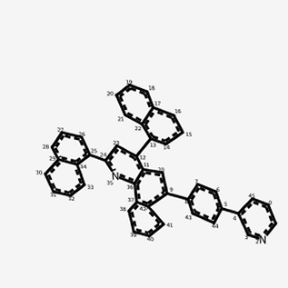 c1cncc(-c2ccc(-c3cc4c(-c5cccc6ccccc56)cc(-c5cccc6ccccc56)nc4c4ccccc34)cc2)c1